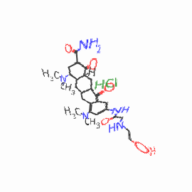 CN(C)C1=C2CC3CC4[C@@H](CC3C(=O)C2CC(NC(=O)CNCCO)=C1)C(=O)C(C(N)=O)C[C@@H]4N(C)C.Cl